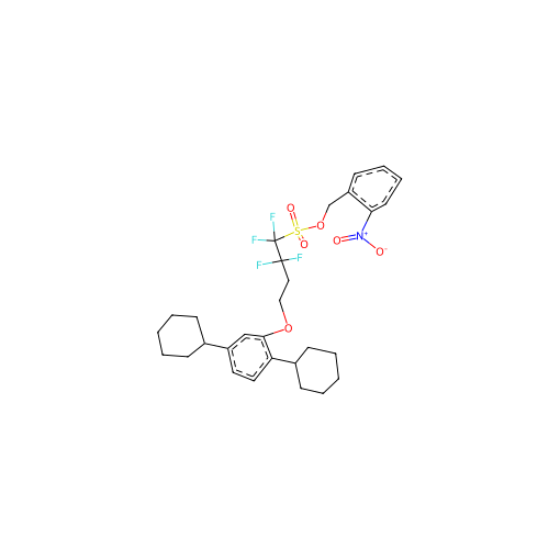 O=[N+]([O-])c1ccccc1COS(=O)(=O)C(F)(F)C(F)(F)CCOc1cc(C2CCCCC2)ccc1C1CCCCC1